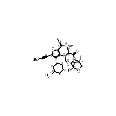 CC[C@@H](C(=O)N1C[C@@H]2C[C@H]1CO2)N(c1cc(C#CC(C)(C)C)sc1C(=O)OC)C(=O)[C@H]1CC[C@H](C)CC1